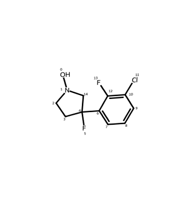 ON1CCC(F)(c2cccc(Cl)c2F)C1